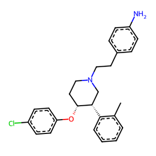 Cc1ccccc1[C@H]1CN(CCc2ccc(N)cc2)CC[C@H]1Oc1ccc(Cl)cc1